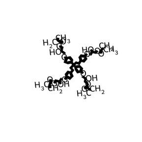 C=C(C)C(=O)OCC(O)COc1ccc(CCC(CCc2ccc(OCC(O)COC(=O)C(=C)C)cc2)(c2ccc(OCC(O)COC(=O)C(=C)C)cc2)c2ccc(OCC(O)COC(=O)C(=C)C)cc2)cc1